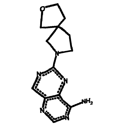 Nc1ncnc2cnc(N3CCC4(CCOC4)C3)nc12